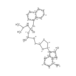 CC(C)NP(=O)(Oc1cccc2ccccc12)OP(O)OCC1CCC(n2c(Cl)nc3c(N)ncnc32)O1